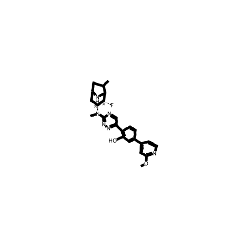 COc1cc(-c2ccc(-c3cnc(N(C)[C@@H]4CC5CC(C)C(N5)[C@@H]4F)nn3)c(O)c2)ccn1